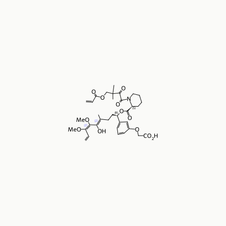 C=CC(=O)OCC(C)(C)C(=O)C(=O)N1CCCC[C@H]1C(=O)O[C@H](CC/C(C)=C(O)/C(OC)=C(\C=C)OC)c1cccc(OCC(=O)O)c1